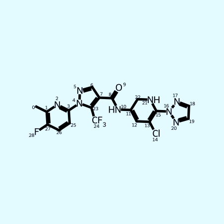 Cc1nc(-n2ncc(C(=O)NC3=CC(Cl)=C(n4nccn4)NC3)c2C(F)(F)F)ccc1F